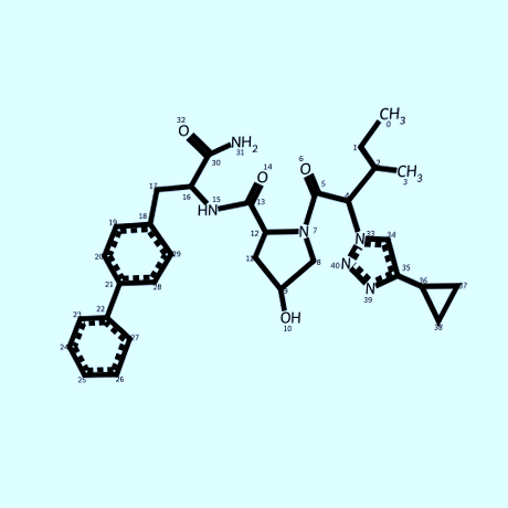 CCC(C)C(C(=O)N1CC(O)CC1C(=O)NC(Cc1ccc(-c2ccccc2)cc1)C(N)=O)n1cc(C2CC2)nn1